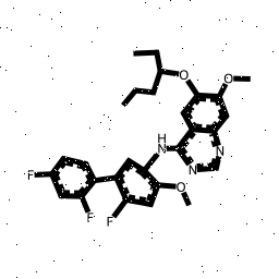 CCCC(CC)Oc1cc2c(Nc3cc(-c4ccc(F)cc4F)c(F)cc3OC)ncnc2cc1OC